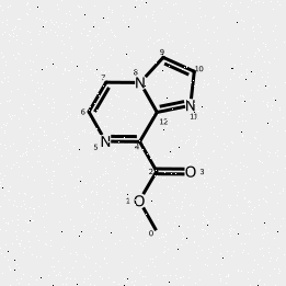 COC(=O)c1nccn2ccnc12